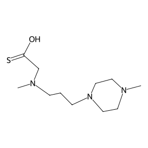 CN1CCN(CCCN(C)CC(O)=S)CC1